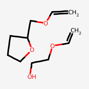 C=COCC1CCCO1.C=COCCO